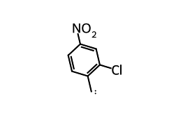 [CH]c1ccc([N+](=O)[O-])cc1Cl